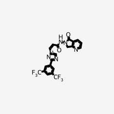 O=C(/C=C\n1cnc(-c2cc(C(F)(F)F)cc(C(F)(F)F)c2)n1)NN1Cc2ncccc2C1=O